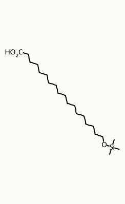 C[Si](C)(C)OCCCCCCCCCCCCCCCCCC(=O)O